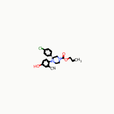 C=CCOC(=O)N1CCN(c2ccc(O)cc2C#N)[C@H](c2ccc(Cl)cc2)C1